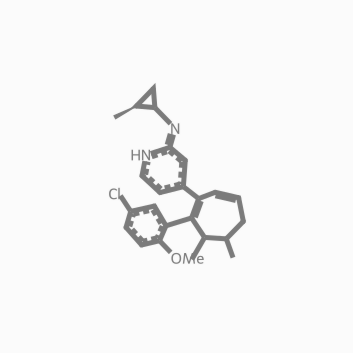 COc1ccc(Cl)cc1C1=C(c2cc[nH]/c(=N\C3C[C@@H]3C)c2)C=CCC(C)C1C